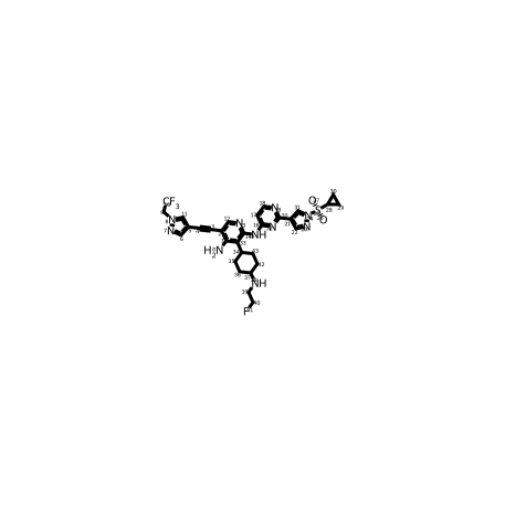 Nc1c(C#Cc2cnn(CC(F)(F)F)c2)cnc(Nc2ccnc(-c3cnn(S(=O)(=O)C4CC4)c3)n2)c1C1CCC(NCCF)CC1